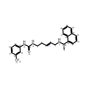 C[C@@H](NC/C=C/CCNC(=O)Nc1cccc(C(F)(F)F)c1)c1cccc2ccccc12